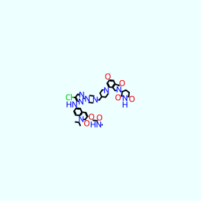 CNC(=O)COc1cc2cc(Nc3nc(N4CCN(CC5CCN(c6cc(OC)cc7c6CN(C6CCC(=O)NC6=O)C7=O)CC5)CC4)ncc3Cl)ccc2n(C(C)C)c1=O